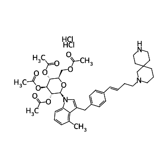 CC(=O)OC[C@H]1O[C@@H](n2cc(Cc3ccc(C=CCCN4CCCC5(CCNCC5)C4)cc3)c3c(C)cccc32)[C@H](OC(C)=O)[C@@H](OC(C)=O)[C@@H]1OC(C)=O.Cl.Cl